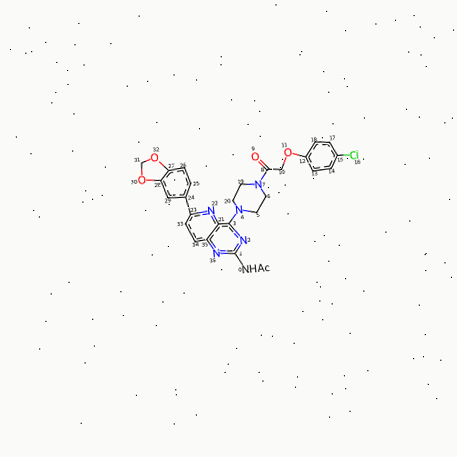 CC(=O)Nc1nc(N2CCN(C(=O)COc3ccc(Cl)cc3)CC2)c2nc(-c3ccc4c(c3)OCO4)ccc2n1